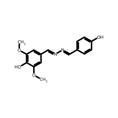 COc1cc(/C=N/N=C/c2ccc(O)cc2)cc(OC)c1O